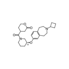 O=C1CC(C(=O)N2CCC[C@H](Oc3ccc4c(c3)CCN(C3CCC3)CC4)C2)CCO1